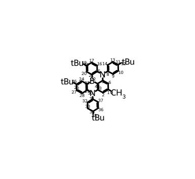 Cc1cc2c3c(c1)N(c1ccc(C(C)(C)C)cc1)c1ccc(C(C)(C)C)cc1B3c1cc(C(C)(C)C)ccc1N2C1=CCC(C(C)(C)C)C=C1